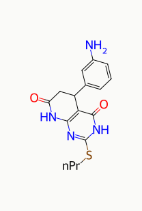 CCCSc1nc2c(c(=O)[nH]1)C(c1cccc(N)c1)CC(=O)N2